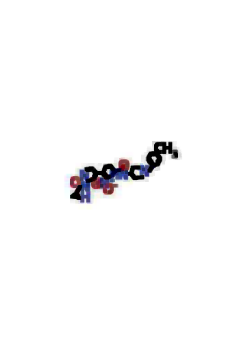 Cc1ccc(CN2CCC(NC(=O)c3ccc(-c4ccnc(NC(=O)C5CC5)c4)c([N+](=O)[O-])c3)CC2)cc1